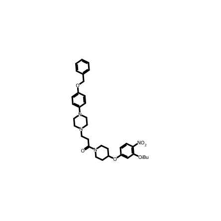 CC(C)COc1cc(OC2CCN(C(=O)CCN3CCN(c4ccc(OCc5ccccc5)cc4)CC3)CC2)ccc1[N+](=O)[O-]